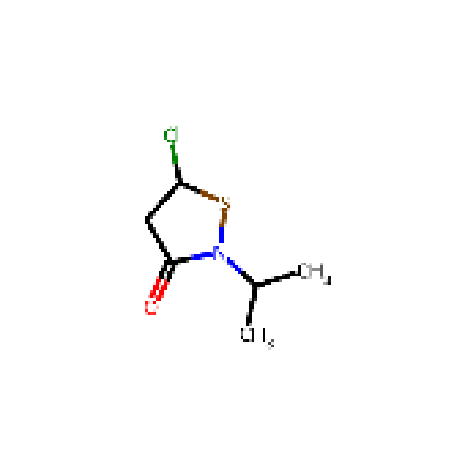 CC(C)N1SC(Cl)CC1=O